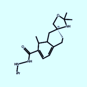 CC(C)NNC(=O)C1=CC=C2CC[C@@]3(COC(C)(C)N3)CC2C1C